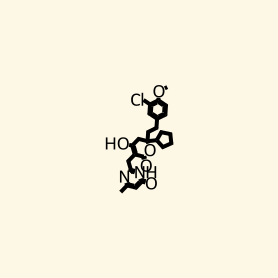 COc1ccc(CCC2(C3CCCC3)CC(O)=C(Cc3nc(C)cc(=O)[nH]3)C(=O)O2)cc1Cl